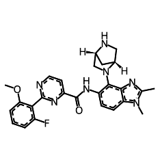 COc1cccc(F)c1-c1nccc(C(=O)Nc2ccc3c(nc(C)n3C)c2N2C[C@H]3C[C@@H]2CN3)n1